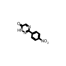 O=c1cnc(-c2ccc([N+](=O)[O-])cc2)n[nH]1